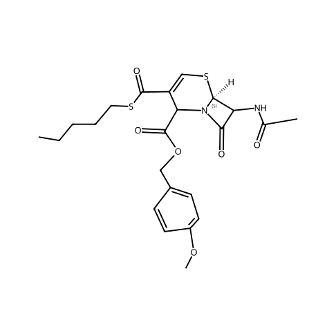 CCCCCSC(=O)C1=CS[C@H]2C(NC(C)=O)C(=O)N2C1C(=O)OCc1ccc(OC)cc1